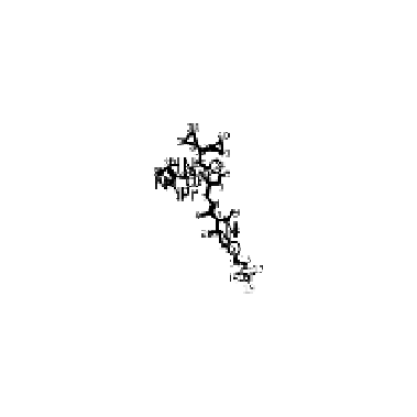 C=C/C(=C\C=C(/C)c1c(C)nn(COCC[Si](C)(C)C)c1C)NC(=O)[C@@H](NC(=O)c1ccnn1C(C)C)C(C1CC1)C1CC1